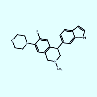 CN1Cc2cc(N3CCOCC3)c(F)cc2C(c2ccc3cc[nH]c3c2)C1